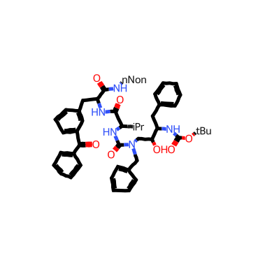 CCCCCCCCCNC(=O)C(Cc1cccc(C(=O)c2ccccc2)c1)NC(=O)C(NC(=O)N(Cc1ccccc1)CC(O)C(Cc1ccccc1)NC(=O)OC(C)(C)C)C(C)C